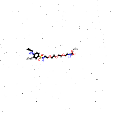 C#CCNc1ccc(S(=O)(=O)NCCOCCOCCOCCNC(=O)OC(C)(C)C)cc1OC